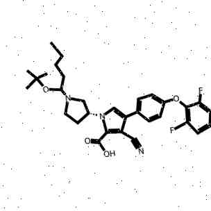 CCCCC(OC(C)(C)C)N1CC[C@@H](n2cc(-c3ccc(Oc4c(F)cccc4F)cc3)c(C#N)c2C(=O)O)C1